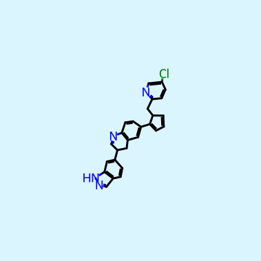 Clc1ccc(CC2C=CC=C2c2ccc3c(c2)CC(c2ccc4cn[nH]c4c2)C=N3)nc1